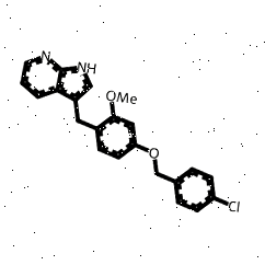 COc1cc(OCc2ccc(Cl)cc2)ccc1Cc1c[nH]c2ncccc12